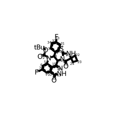 CC(C)(C)OC(=O)N1c2cc(F)cc3c(=O)[nH]nc(c23)C(N2C(=O)C3(CCC3)NC2=S)C1c1ccc(F)cc1